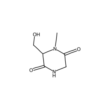 CN1C(=O)CNC(=O)C1CO